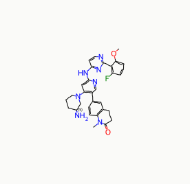 COc1cccc(F)c1-c1nccc(Nc2cc(N3CCC[C@H](N)C3)c(-c3ccc4c(c3)CCC(=O)N4C)cn2)n1